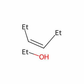 CC/C=C\CC.CCO